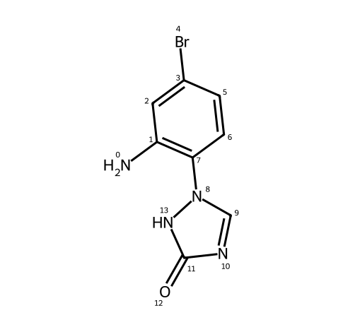 Nc1cc(Br)ccc1-n1cnc(=O)[nH]1